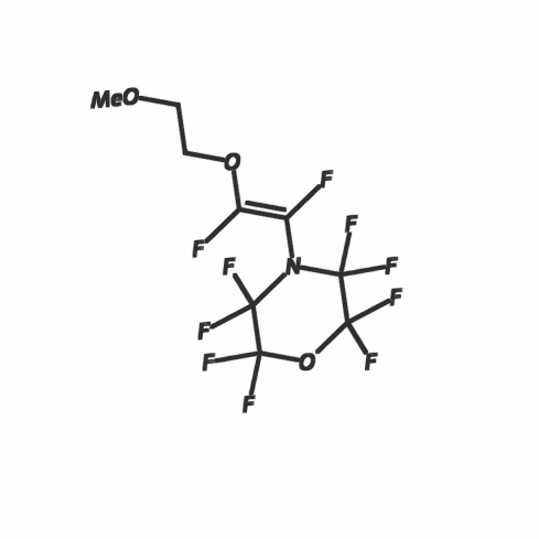 COCCO/C(F)=C(\F)N1C(F)(F)C(F)(F)OC(F)(F)C1(F)F